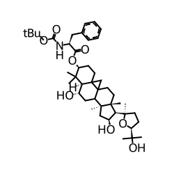 CC(C)(C)OC(=O)N[C@@H](Cc1ccccc1)C(=O)O[C@H]1CCC23CC24CC[C@]2(C)[C@@H]([C@@]5(C)CC[C@@H](C(C)(C)O)O5)[C@@H](O)C[C@@]2(C)C4C[C@H](O)[C@H]3C1(C)C